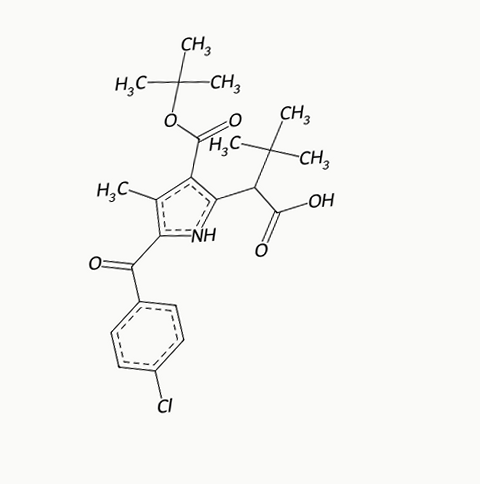 Cc1c(C(=O)c2ccc(Cl)cc2)[nH]c(C(C(=O)O)C(C)(C)C)c1C(=O)OC(C)(C)C